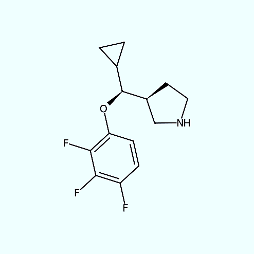 Fc1ccc(O[C@@H](C2CC2)[C@H]2CCNC2)c(F)c1F